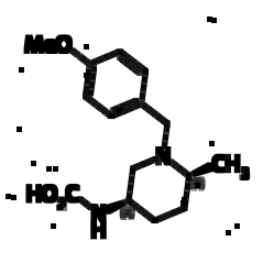 COc1ccc(CN2C[C@H](NC(=O)O)CC[C@@H]2C)cc1